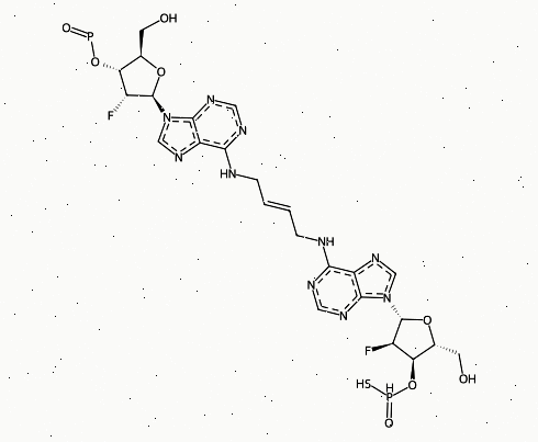 O=PO[C@H]1[C@@H](F)[C@H](n2cnc3c(NC/C=C/CNc4ncnc5c4ncn5[C@@H]4O[C@H](CO)[C@@H](O[PH](=O)S)[C@H]4F)ncnc32)O[C@@H]1CO